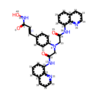 O=C(/C=C/c1ccc(N(CC(=O)Nc2cccc3cccnc23)CC(=O)Nc2cccc3cccnc23)cc1)NO